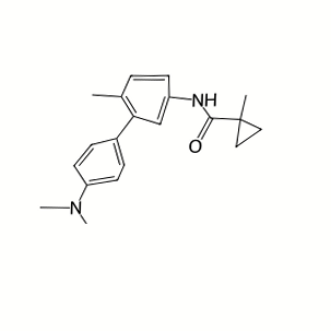 Cc1ccc(NC(=O)C2(C)CC2)cc1-c1ccc(N(C)C)cc1